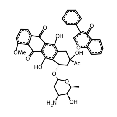 COc1cccc2c1C(=O)c1c(O)c3c(c(O)c1C2=O)C[C@@](O)(C(C)=O)C[C@@H]3O[C@H]1C[C@H](N)[C@H](O)[C@H](C)O1.O=c1c(-c2ccccc2)coc2ccccc12